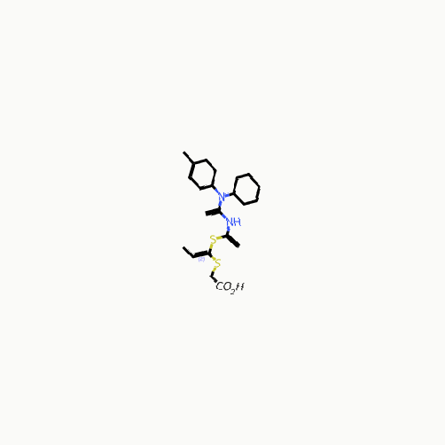 C=C(NC(=C)N(C1CCCCC1)C1CCC(C)CC1)S/C(=C\C)SCC(=O)O